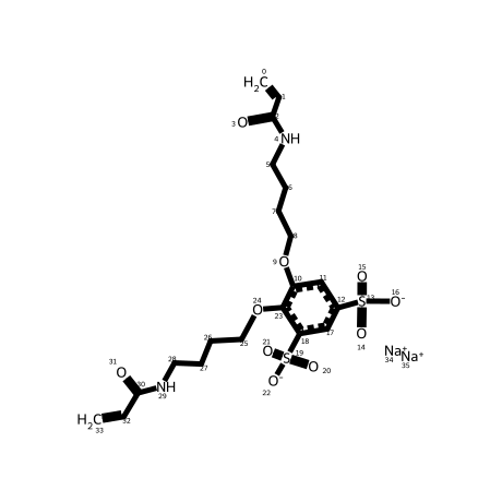 C=CC(=O)NCCCCOc1cc(S(=O)(=O)[O-])cc(S(=O)(=O)[O-])c1OCCCCNC(=O)C=C.[Na+].[Na+]